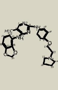 Cc1cnc(Nc2ccc(OCCN3CCCC3)cc2)nc1Nc1cccc2c1OCO2